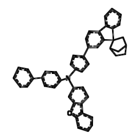 c1ccc(-c2ccc(N(c3ccc(-c4ccc5c(c4)C4(CC6CCC4C6)c4ccccc4-5)cc3)c3ccc4c(c3)oc3ccccc34)cc2)cc1